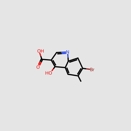 Cc1cc2c(O)c(C(=O)O)cnc2cc1Br